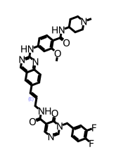 COc1cc(Nc2ncc3cc(/C=C/CNC(=O)c4cncn(Cc5ccc(F)c(F)c5)c4=O)ccc3n2)ccc1C(=O)NC1CCN(C)CC1